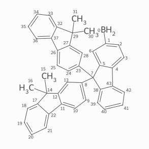 Bc1ccc2c(c1)C(c1ccc3c(c1)C(C)(C)c1ccccc1-3)(c1ccc3c(c1)C(C)(C)c1ccccc1-3)c1ccccc1-2